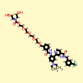 CCN(CC)c1ccc(NC(=O)c2cccc(COCCOCCOCCOCCOC(=O)N(CCO)CCO)c2)c(-c2cc(C(=O)NCc3cccc(C(F)(F)F)c3)ccn2)c1